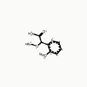 CCCCOC(C(N)=O)c1ncccc1OC